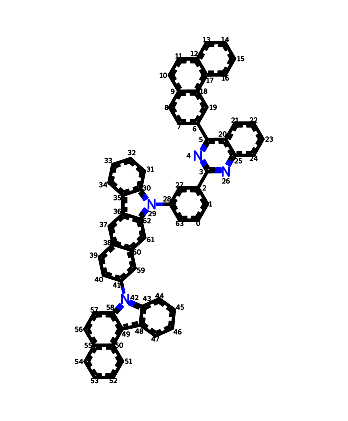 c1cc(-c2nc(-c3ccc4ccc5ccccc5c4c3)c3ccccc3n2)cc(-n2c3ccccc3c3cc4ccc(-n5c6ccccc6c6c7ccccc7ccc65)cc4cc32)c1